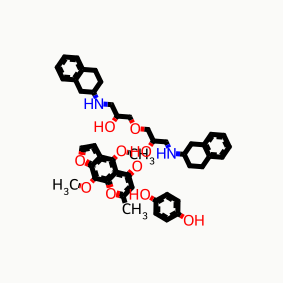 COc1c2occc2c(OC)c2c(=O)cc(C)oc12.OC(CNC1CCc2ccccc2C1)COCC(O)CNC1CCc2ccccc2C1.Oc1ccc(O)cc1